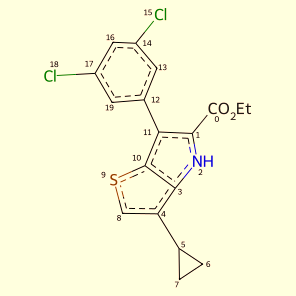 CCOC(=O)c1[nH]c2c(C3CC3)csc2c1-c1cc(Cl)cc(Cl)c1